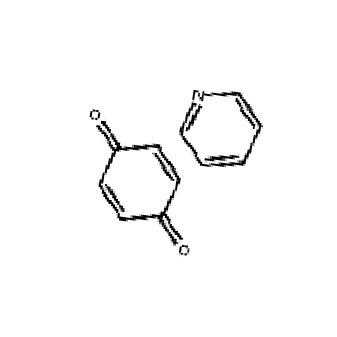 O=C1C=CC(=O)C=C1.c1ccncc1